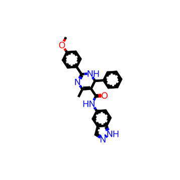 COc1ccc(C2=NC(C)=C(C(=O)Nc3ccc4[nH]ncc4c3)C(c3ccccc3)N2)cc1